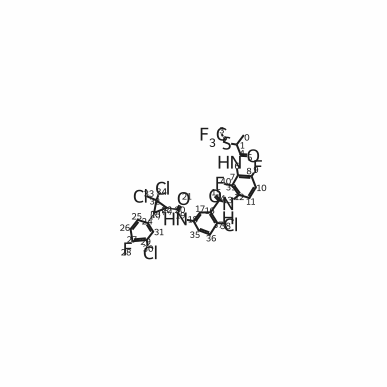 CC(SC(F)(F)F)C(=O)Nc1c(F)ccc(NC(=O)c2cc(NC(=O)[C@H]3[C@H](c4ccc(F)c(Cl)c4)C3(Cl)Cl)ccc2Cl)c1F